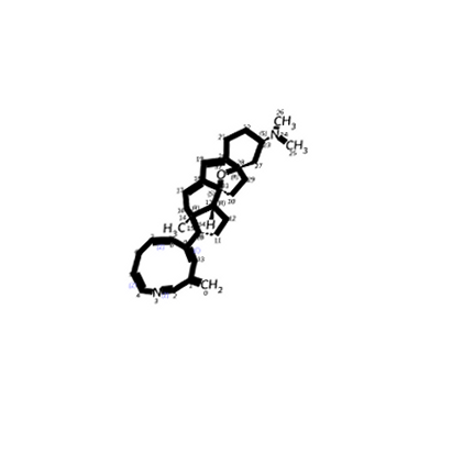 C=C1/C=N\C=C/C/C=C\C([C@H]2CC[C@@H]3[C@]2(C)CC=C2C=C4CC[C@H](N(C)C)C[C@]45CC[C@@]23O5)=C/1